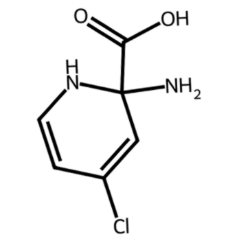 NC1(C(=O)O)C=C(Cl)C=CN1